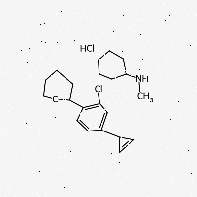 CNC1CCCCC1.Cl.Clc1cc(C2C=C2)ccc1C1CCCCC1